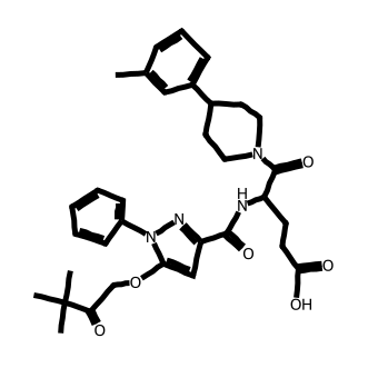 Cc1cccc(C2CCN(C(=O)C(CCC(=O)O)NC(=O)c3cc(OCC(=O)C(C)(C)C)n(-c4ccccc4)n3)CC2)c1